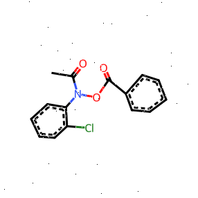 CC(=O)N(OC(=O)c1ccccc1)c1ccccc1Cl